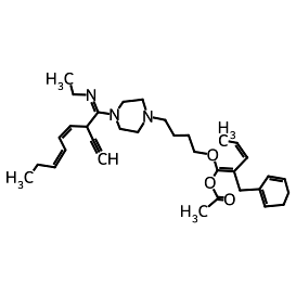 C#CC(/C=C\C=C/CC)/C(=N\CC)N1CCN(CCCCO/C(OC(C)=O)=C(\C=C/C)CC2=CCCC=C2)CC1